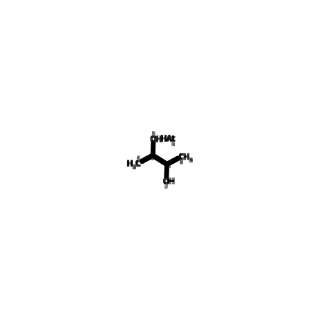 CC(O)C(C)O.[AtH]